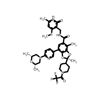 CSc1cc(C)[nH]c(=O)c1CNC(=O)c1cc(-c2ccc(N3C[C@@H](C)O[C@@H](C)C3)nc2)c2c(c1C)O[C@@](C)(C1CCN(C(=O)C(F)(F)F)CC1)O2